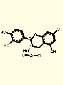 Oc1cc(O)c2c(c1)O[C@H](c1ccc(O)c(O)c1)[C@@H](O)C2.[Cl][Zn][Cl]